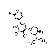 CC(C)C1CN(c2nc(-c3ccnc(F)c3)[nH]c(=O)c2Cl)CCN1